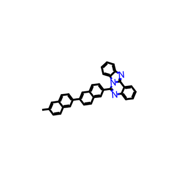 Cc1ccc2cc(-c3ccc4cc(-c5nc6ccccc6c6nc7ccccc7n56)ccc4c3)ccc2c1